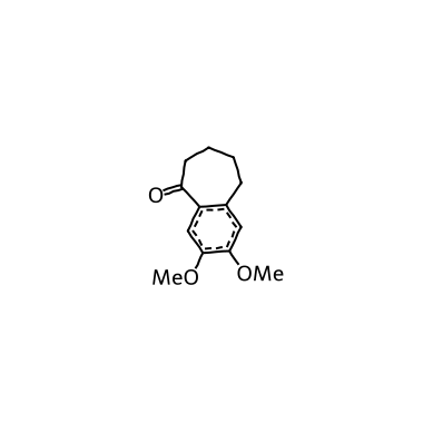 COc1cc2c(cc1OC)C(=O)CCCC2